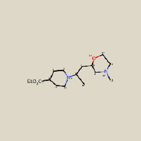 CCOC(=O)C1CCN(C(C)CC2CN(C)CCO2)CC1